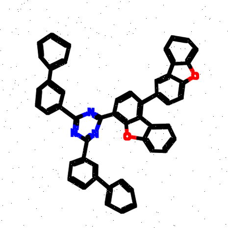 c1ccc(-c2cccc(-c3nc(-c4cccc(-c5ccccc5)c4)nc(-c4ccc(-c5ccc6oc7ccccc7c6c5)c5c4oc4ccccc45)n3)c2)cc1